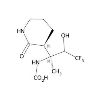 C[C@@](NC(=O)O)(C(O)C(F)(F)F)[C@@H]1CCCNC1=O